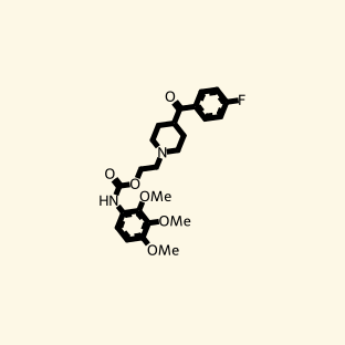 COc1ccc(NC(=O)OCCN2CCC(C(=O)c3ccc(F)cc3)CC2)c(OC)c1OC